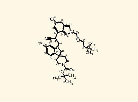 CC(C)(C)OC(=O)N1CCC(COCC(C#N)c2cc(Cl)cc3cn(COCC[Si](C)(C)C)nc23)(c2ccc(F)cc2)CC1